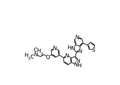 CN(C)CCOc1cncc(-c2ccc3[nH]nc(-c4nc5c(-c6ccsc6)cncc5[nH]4)c3n2)c1